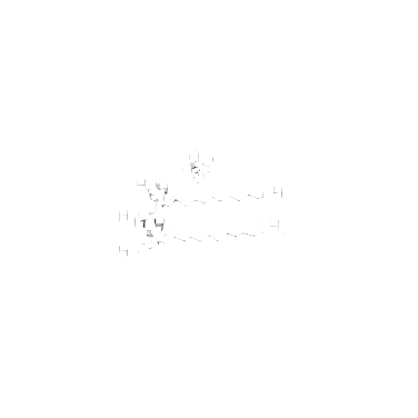 CCCCCCCCCCCC[N+](CC)(CC)CC.CCCCCCCCCCCC[N+](CC)(CC)CC.O=S(=O)([O-])[O-]